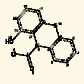 O=C(Cl)N1c2ccccc2Sc2cccc(O)c21